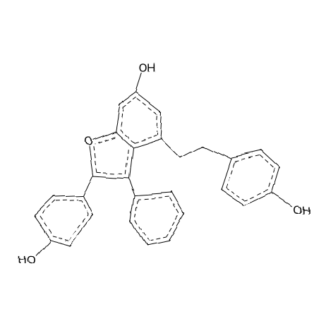 Oc1ccc(CCc2cc(O)cc3oc(-c4ccc(O)cc4)c(-c4ccccc4)c23)cc1